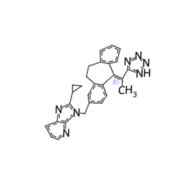 C/C(=C1/c2ccccc2CCc2cc(Cn3c(C4CC4)nc4cccnc43)ccc21)c1nnn[nH]1